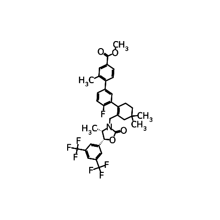 COC(=O)c1ccc(-c2ccc(F)c(C3=C(CN4C(=O)O[C@H](c5cc(C(F)(F)F)cc(C(F)(F)F)c5)[C@@H]4C)CC(C)(C)CC3)c2)c(C)c1